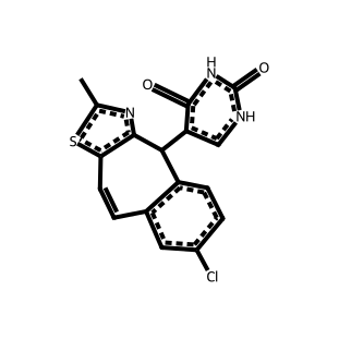 Cc1nc2c(s1)C=Cc1cc(Cl)ccc1C2c1c[nH]c(=O)[nH]c1=O